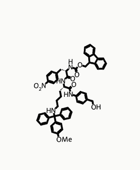 COc1ccc(C(NCCCC[C@H](NC(=O)[C@H](Cc2ccc([N+](=O)[O-])cc2)NC(=O)OCC2c3ccccc3-c3ccccc32)C(=O)Nc2ccc(CO)cc2)(c2ccccc2)c2ccccc2)cc1